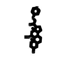 CC12C=CC(=O)C=C1CCC1C2[C@@H](O)CC2(C)C(C(=O)CSc3ccncc3)CCC12